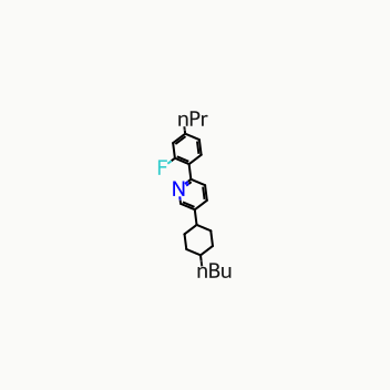 CCCCC1CCC(c2ccc(-c3ccc(CCC)cc3F)nc2)CC1